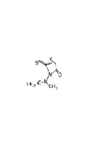 CN(C)N1C(=O)CSC1=S